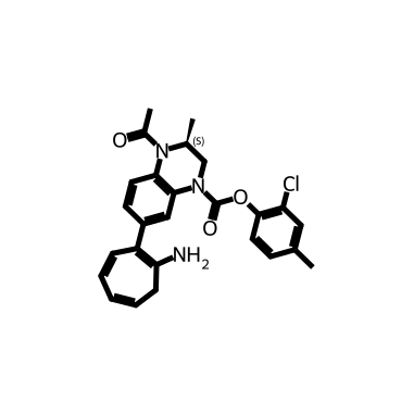 CC(=O)N1c2ccc(C3=C(N)CC=CC=C3)cc2N(C(=O)Oc2ccc(C)cc2Cl)C[C@@H]1C